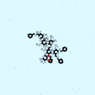 CCC1O[C@@H](O[C@@H]2C(OCc3ccccc3)[C@H](O[C@@H]3C(COCc4ccccc4)O[C@@H](OCc4ccccc4)C(C)[C@H]3C)OC(CO[C@H]3OC(CC)[C@@H](C)[C@H](C)C3O[C@@H]3OC(CC)[C@@H](O[C@@H]4OC(COCc5ccccc5)[C@H](C)[C@H](C)C4OC(C)=O)[C@H](C)C3C)[C@H]2C)[C@@H](OC(C)=O)C(C)[C@H]1C